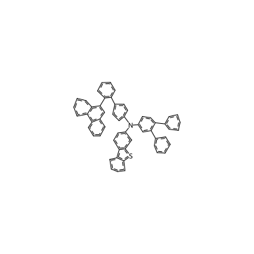 c1ccc(-c2ccc(N(c3ccc(-c4ccccc4-c4cc5ccccc5c5ccccc45)cc3)c3ccc4c(c3)sc3ccccc34)cc2-c2ccccc2)cc1